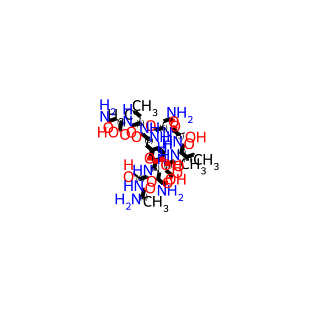 CC[C@H](C)[C@H](NC(=O)[C@H](CC(=O)O)NC(=O)[C@H](CCC(N)=O)NC(=O)[C@H](CO)NC(=O)[C@H](C)N)C(=O)N[C@@H](CO)C(=O)N[C@@H](CC(N)=O)C(=O)N[C@@H](Cc1ccc(O)cc1)C(=O)N[C@@H](CC(C)C)C(=O)N[C@@H](CC(N)=O)C(=O)O